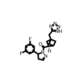 O=C([C@H]1CC2(Cc3nnn[nH]3)CC1C2)N1N=CCC1c1cc(F)cc(F)c1